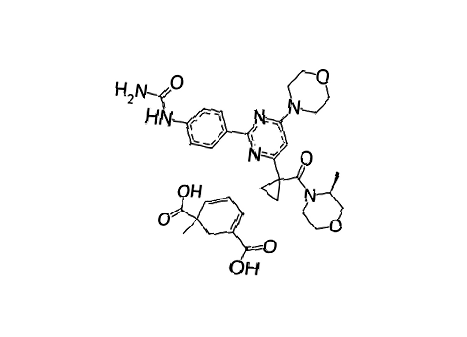 CC1(C(=O)O)C=CC=C(C(=O)O)C1.C[C@H]1COCCN1C(=O)C1(c2cc(N3CCOCC3)nc(-c3ccc(NC(N)=O)cc3)n2)CC1